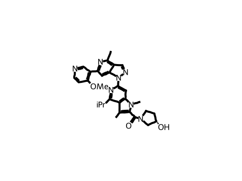 COc1ccncc1-c1cc2c(cnn2-c2cc3c(c(C(C)C)n2)c(C)c(C(=O)N2CC[C@H](O)C2)n3C)c(C)n1